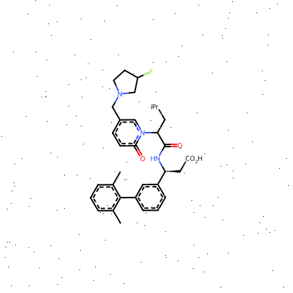 Cc1cccc(C)c1-c1cccc([C@H](CC(=O)O)NC(=O)C(CC(C)C)n2cc(CN3CCC(F)C3)ccc2=O)c1